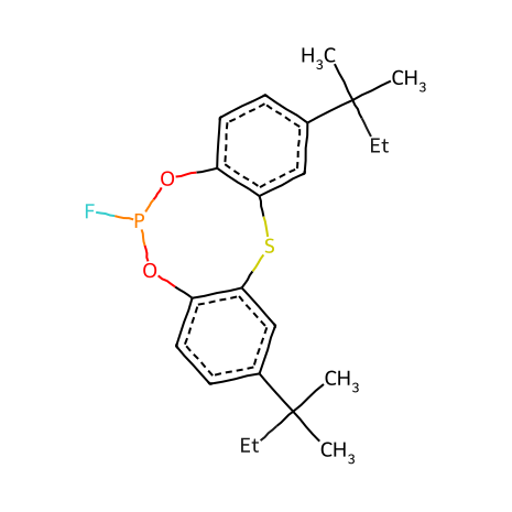 CCC(C)(C)c1ccc2c(c1)Sc1cc(C(C)(C)CC)ccc1OP(F)O2